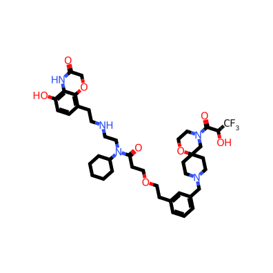 O=C1COc2c(CCNCCN(C(=O)CCOCCc3cccc(CN4CCC5(CC4)CN(C(=O)C(O)C(F)(F)F)CCO5)c3)C3CCCCC3)ccc(O)c2N1